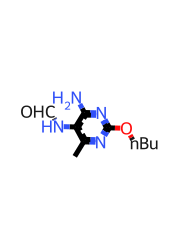 CCCCOc1nc(C)c(NC=O)c(N)n1